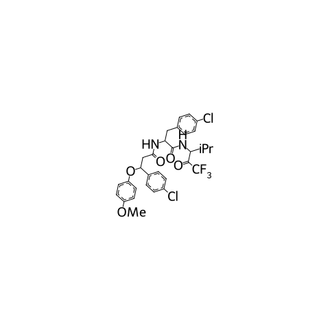 COc1ccc(OC(CC(=O)NC(Cc2ccc(Cl)cc2)C(=O)NC(C(=O)C(F)(F)F)C(C)C)c2ccc(Cl)cc2)cc1